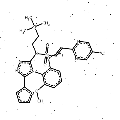 COc1cccc(OC)c1-n1c(-c2ccco2)nnc1N(CC[Si](C)(C)C)S(=O)(=O)/C=C/c1ncc(Cl)cn1